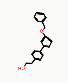 OCCc1ccc(-c2cccc(OCc3ccccc3)c2)cc1